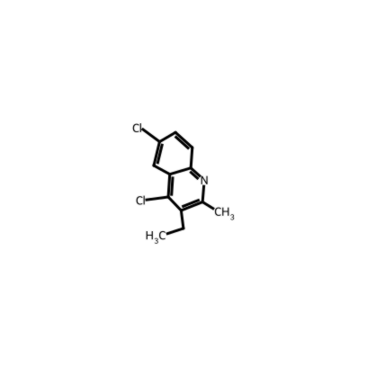 CCc1c(C)nc2ccc(Cl)cc2c1Cl